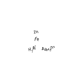 [AlH3].[AlH3].[Fe].[Zn].[Zn]